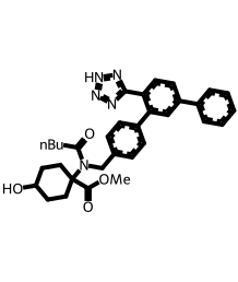 CCCCC(=O)N(Cc1ccc(-c2cc(-c3ccccc3)ccc2-c2nn[nH]n2)cc1)C1(C(=O)OC)CCC(O)CC1